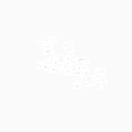 CC[C@H](C)[C@H](NC(=O)C[C@H](N)[C@H](Cc1ccccc1)NC(=O)[C@@H](NC(=O)[C@@H](CC(=O)CC(C)C)CC(C)C)C(C)C)C(=O)N[C@H](CO)C(C)C